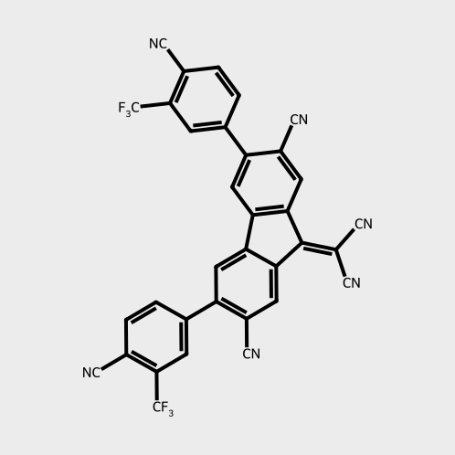 N#CC(C#N)=C1c2cc(C#N)c(-c3ccc(C#N)c(C(F)(F)F)c3)cc2-c2cc(-c3ccc(C#N)c(C(F)(F)F)c3)c(C#N)cc21